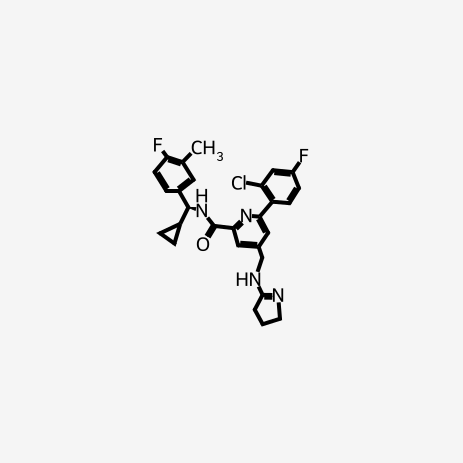 Cc1cc([C@@H](NC(=O)c2cc(CNC3=NCCC3)cc(-c3ccc(F)cc3Cl)n2)C2CC2)ccc1F